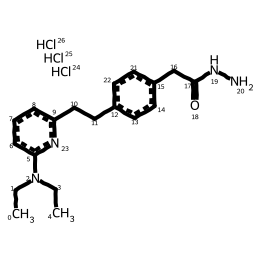 CCN(CC)c1cccc(CCc2ccc(CC(=O)NN)cc2)n1.Cl.Cl.Cl